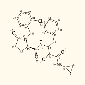 O=C(NC1CC1)C(=O)C(Cc1ccccc1)NC(=O)[C@H]1CCC(=O)N1Cc1ccccc1Cl